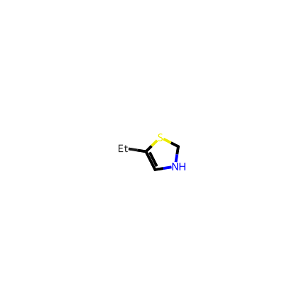 CCC1=CNCS1